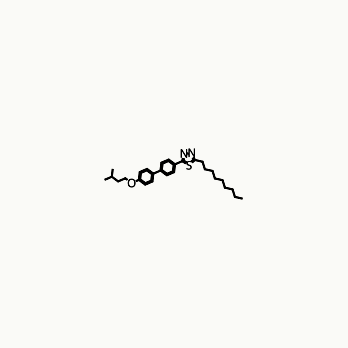 CCCCCCCCCc1nnc(-c2ccc(-c3ccc(OCCC(C)C)cc3)cc2)s1